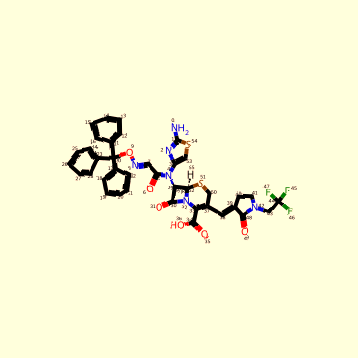 Nc1nc(N(C(=O)C=NOC(c2ccccc2)(c2ccccc2)c2ccccc2)[C@@H]2C(=O)N3C(C(=O)O)=C(C=C4CCN(CC(F)(F)F)C4=O)CS[C@H]23)cs1